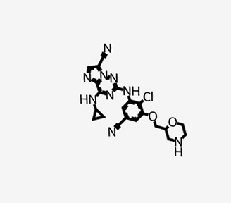 N#Cc1cc(Nc2nc(NC3CC3)c3ncc(C#N)n3n2)c(Cl)c(OCC2CNCCO2)c1